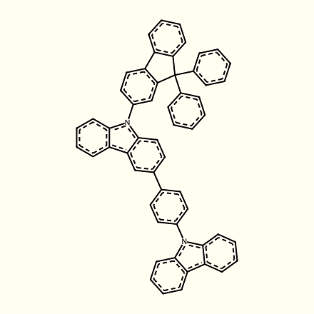 c1ccc(C2(c3ccccc3)c3ccccc3-c3ccc(-n4c5ccccc5c5cc(-c6ccc(-n7c8ccccc8c8ccccc87)cc6)ccc54)cc32)cc1